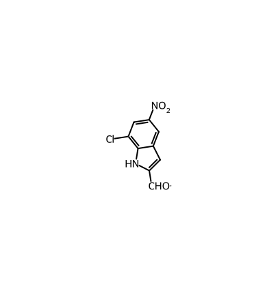 O=[C]c1cc2cc([N+](=O)[O-])cc(Cl)c2[nH]1